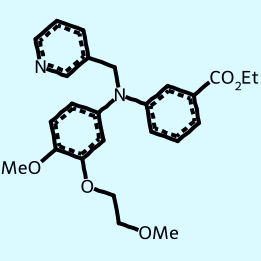 CCOC(=O)c1cccc(N(Cc2cccnc2)c2ccc(OC)c(OCCOC)c2)c1